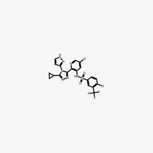 O=S(=O)(Nc1cc(Cl)cnc1-c1nnc(C2CC2)n1-c1cc[nH]n1)c1ccc(Cl)c(C(F)(F)F)c1